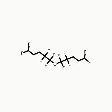 FC(F)CCC(F)(F)C(F)(F)OC(F)(F)C(F)(F)CCC(F)F